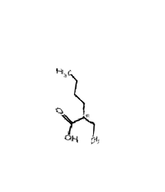 CCCC[C@@H](CC)C(=O)O